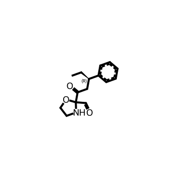 CC[C@H](CC(=O)C1(C=O)NCCO1)c1ccccc1